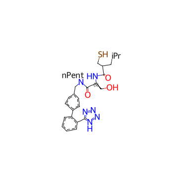 CCCCCN(Cc1ccc(-c2ccccc2-c2nnn[nH]2)cc1)C(=O)[C@H](CO)NC(=O)C(CS)CC(C)C